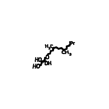 CC(=CCCCOC[C@H](O)[C@H](O)CO)CCCC(C)CCCC(C)C